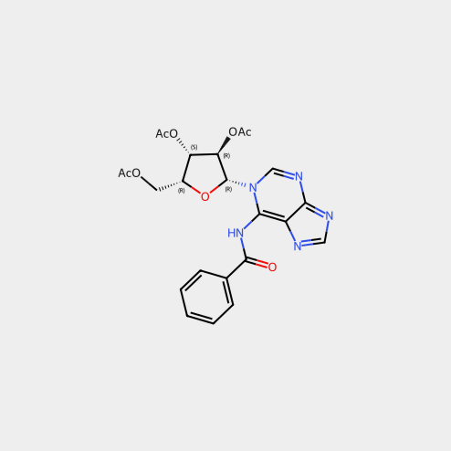 CC(=O)OC[C@H]1O[C@@H](n2cnc3ncnc-3c2NC(=O)c2ccccc2)[C@H](OC(C)=O)[C@H]1OC(C)=O